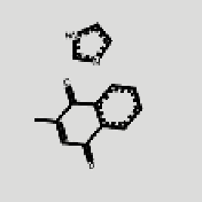 CC1=CC(=O)c2ccccc2C1=O.c1c[nH]cn1